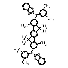 Cc1cc(C)cc(N(c2cc(C)c3c(c2)C(C)(C)c2cc4c(cc2-3)C(C)(C)c2cc(N(c3cc(C)cc(C)c3)c3nc5ccccc5s3)cc(C)c2-4)c2nc3ccccc3s2)c1